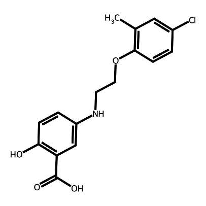 Cc1cc(Cl)ccc1OCCNc1ccc(O)c(C(=O)O)c1